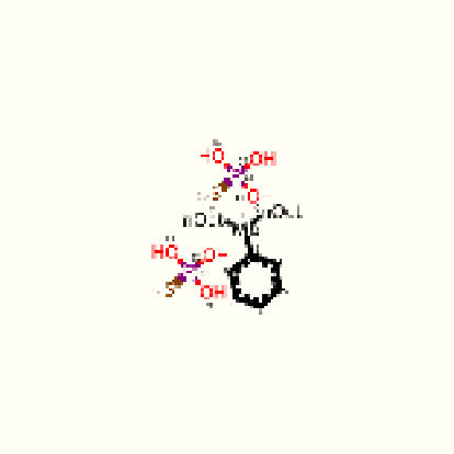 CCCCCCC[CH2][Mo]([CH2]CCCCCCC)[c]1ccccc1.OP(O)(O)=S.OP(O)(O)=S